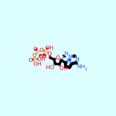 N#C[C@@]1(c2ccc3c(N)ncnn23)OC(COP(=O)(O)OP(=O)(O)OP(=O)(O)O)C(O)C1O